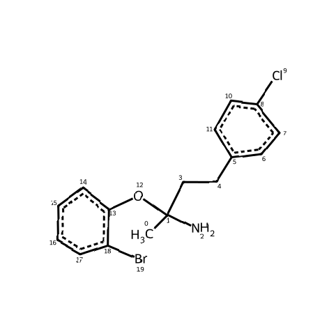 CC(N)(CCc1ccc(Cl)cc1)Oc1ccccc1Br